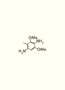 COc1cc(N)c(C)c(OC)c1N